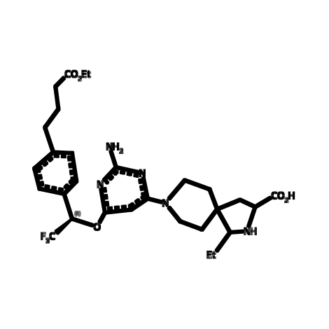 CCOC(=O)CCCc1ccc([C@@H](Oc2cc(N3CCC4(CC3)CC(C(=O)O)NC4CC)nc(N)n2)C(F)(F)F)cc1